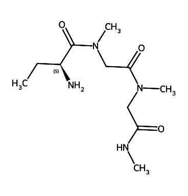 CC[C@H](N)C(=O)N(C)CC(=O)N(C)CC(=O)NC